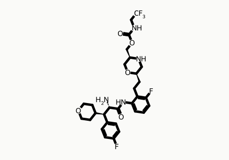 N[C@H](C(=O)Nc1cccc(F)c1CC[C@@H]1CN[C@H](COC(=O)NCC(F)(F)F)CO1)[C@@H](c1ccc(F)cc1)C1CCOCC1